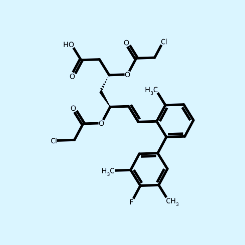 Cc1cc(-c2cccc(C)c2/C=C/[C@H](C[C@H](CC(=O)O)OC(=O)CCl)OC(=O)CCl)cc(C)c1F